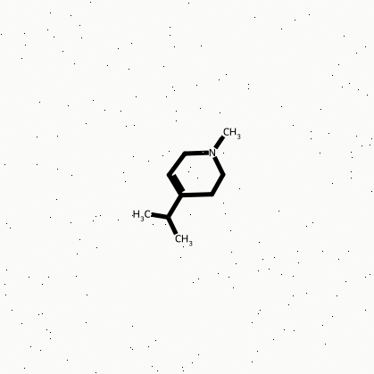 CC(C)C1=CCN(C)CC1